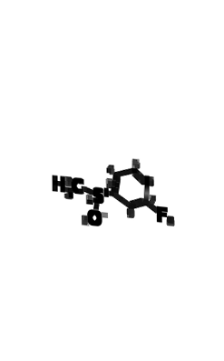 C[S+]([O-])c1cc[c]c(F)c1